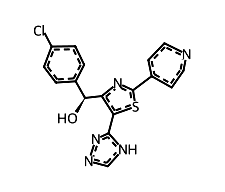 O[C@@H](c1ccc(Cl)cc1)c1nc(-c2ccncc2)sc1-c1nnc[nH]1